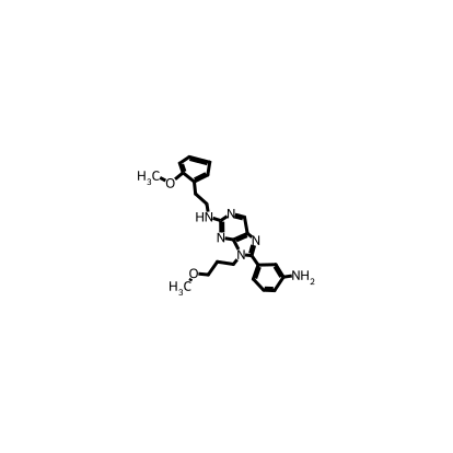 COCCCn1c(-c2cccc(N)c2)nc2cnc(NCCc3ccccc3OC)nc21